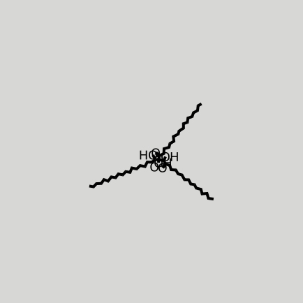 CCCCCCCCCCCCCCCCCC(=O)C(O)C(O)(C(=O)CCCCCCCCCCCCCCCCC)C(O)C(=O)CCCCCCCCCCCCCCC